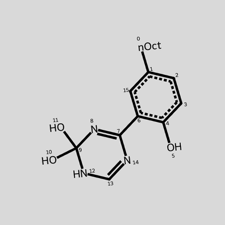 CCCCCCCCc1ccc(O)c(C2=NC(O)(O)NC=N2)c1